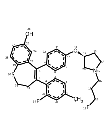 Cc1ccc(C2=C(c3ccc(O[C@H]4CCN(CCCF)C4)cc3)c3cc(O)ccc3SCC2)c(F)c1